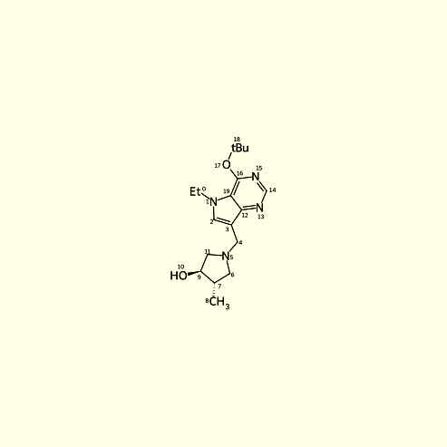 CCn1cc(CN2C[C@H](C)[C@@H](O)C2)c2ncnc(OC(C)(C)C)c21